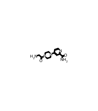 NCC(=O)N1CCN(c2[c]c(C(N)=O)ncc2)CC1